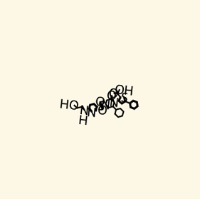 O=C(O)c1sc(-c2ccccc2)cc1N1C(=O)CN(S(=O)(=O)c2ccc(NCCO)nc2)CC1C1CCCCC1